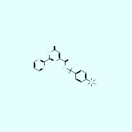 CC(C)(NC(=O)c1cc(=O)[nH]c(-c2ncccn2)n1)c1ccc(S(F)(F)(F)(F)F)cc1